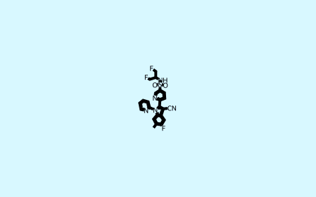 Cc1cc2c(cc1F)c(C#N)c(-c1ccc(S(=O)(=O)NC(CF)CF)cn1)n2-c1ccccn1